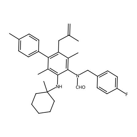 C=C(C)Cc1c(C)c(N(C=O)Cc2ccc(F)cc2)c(NC2(C)CCCCC2)c(C)c1-c1ccc(C)cc1